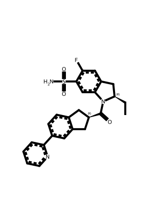 CC[C@@H]1Cc2cc(F)c(S(N)(=O)=O)cc2N1C(=O)[C@@H]1Cc2ccc(-c3ccccn3)cc2C1